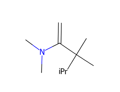 C=C(N(C)C)C(C)(C)C(C)C